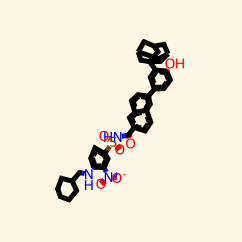 O=C(NS(=O)(=O)c1ccc(NCC2CCCCC2)c([N+](=O)[O-])c1)c1ccc2cc(-c3ccc(O)c(C45CC6CC(CC(C6)C4)C5)c3)ccc2c1